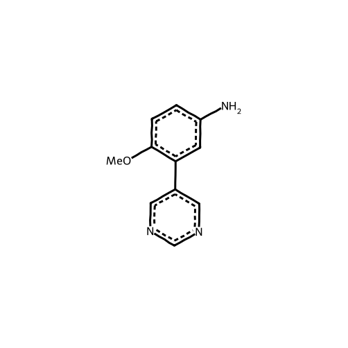 COc1ccc(N)cc1-c1cncnc1